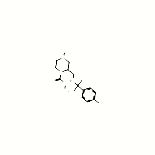 CC(C)(C)OC(=O)N1CCN(C(=O)O)CC1CNC(C)(C)c1ccc(Br)cc1